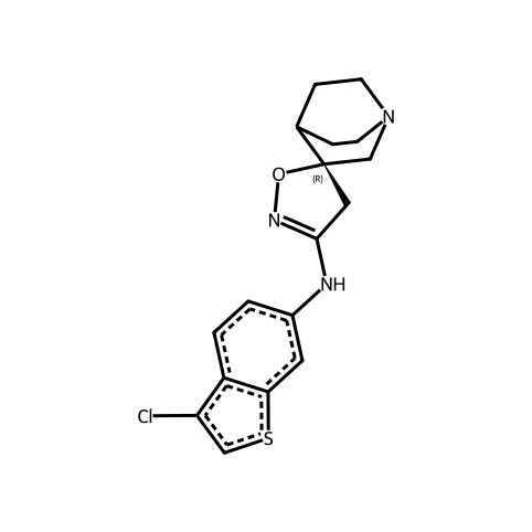 Clc1csc2cc(NC3=NO[C@@]4(C3)CN3CCC4CC3)ccc12